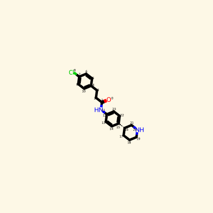 O=C(CCc1ccc(Cl)cc1)Nc1ccc([C@H]2CCCNC2)cc1